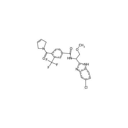 COCC(NC(=O)c1ccc(C(=O)N2CC=CC2)c(C(F)(F)F)c1)c1nc2cc(Cl)ccc2[nH]1